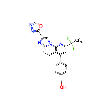 CC(C)(O)c1ccc(-c2cc(C(F)(F)C(F)(F)F)nc3c2ccc2nc(-c4nnco4)cn23)cc1